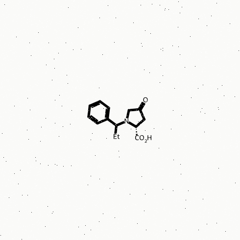 CCC(c1ccccc1)N1CC(=O)C[C@@H]1C(=O)O